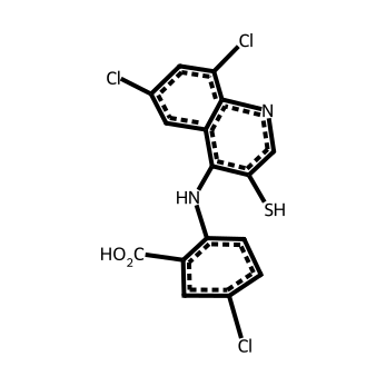 O=C(O)c1cc(Cl)ccc1Nc1c(S)cnc2c(Cl)cc(Cl)cc12